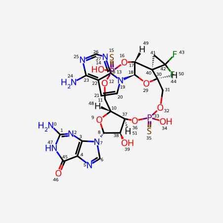 Nc1nc2c(ncn2[C@@H]2O[C@@H]3COP(O)(=S)O[C@H]4[C@H](n5ccc6c(N)ncnc65)O[C@H](COP(O)(=S)O[C@H]3[C@H]2O)[C@@]42CC2(F)F)c(=O)[nH]1